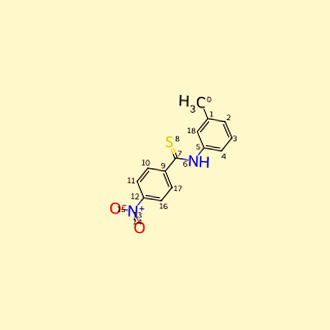 Cc1cccc(NC(=S)c2ccc([N+](=O)[O-])cc2)c1